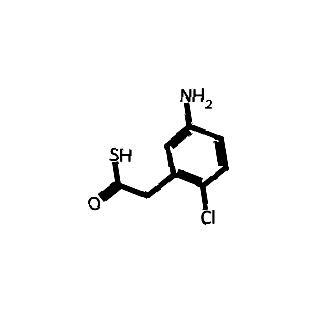 Nc1ccc(Cl)c(CC(=O)S)c1